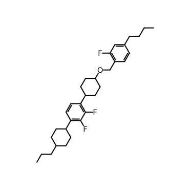 CCCCc1ccc(COC2CCC(c3ccc(C4CCC(CCC)CC4)c(F)c3F)CC2)c(F)c1